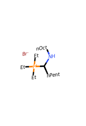 CCCCCCCCNC(CCCCC)[P+](CC)(CC)CC.[Br-]